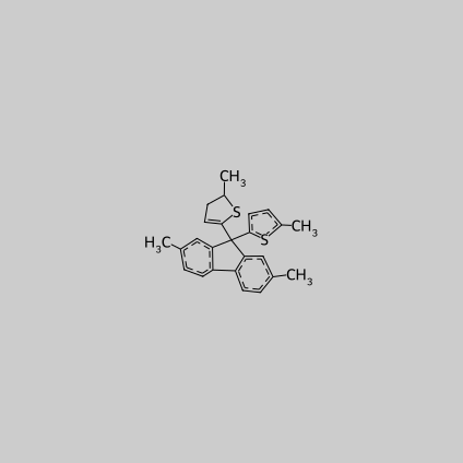 Cc1ccc2c(c1)C(C1=CCC(C)S1)(c1ccc(C)s1)c1cc(C)ccc1-2